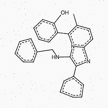 Cc1ccc2nc(-c3ccccc3)c(NCc3ccccc3)n2c1-c1ccccc1O